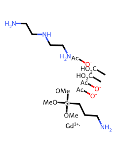 CC(=O)O.CC(=O)O.CC(=O)[O-].CC(=O)[O-].CC(=O)[O-].CO[Si](CCCN)(OC)OC.NCCNCCN.[Gd+3]